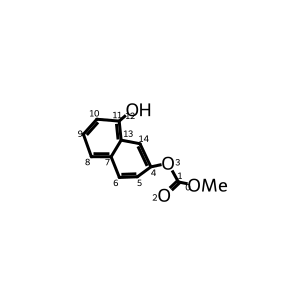 COC(=O)Oc1ccc2cccc(O)c2c1